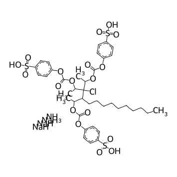 CCCCCCCCCCC(C(C)OC(=O)Oc1ccc(S(=O)(=O)O)cc1)C(Cl)(C(C)OC(=O)Oc1ccc(S(=O)(=O)O)cc1)C(C)OC(=O)Oc1ccc(S(=O)(=O)O)cc1.N.[NaH].[NaH].[NaH]